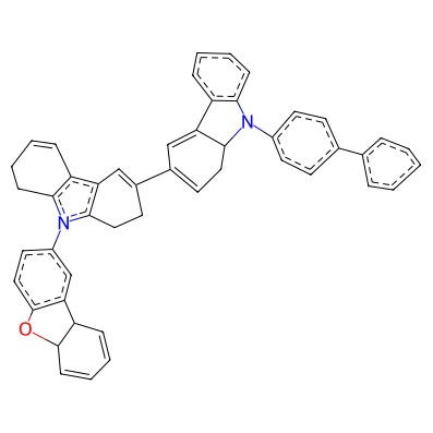 C1=CC2Oc3ccc(-n4c5c(c6c4CCC(C4=CCC7C(=C4)c4ccccc4N7c4ccc(-c7ccccc7)cc4)=C6)C=CCC5)cc3C2C=C1